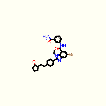 CCn1c(-c2ccc(CCC3CCCC3=O)cc2)nc2cc(Br)cc(C(=O)Nc3cccc(C(N)=O)c3)c21